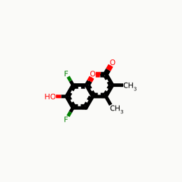 Cc1c(C)c2cc(F)c(O)c(F)c2oc1=O